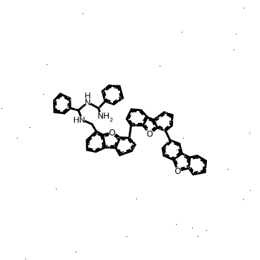 NC(NC(NCc1cccc2c1oc1c(-c3cccc4c3oc3c(-c5ccc6oc7ccccc7c6c5)cccc34)cccc12)c1ccccc1)c1ccccc1